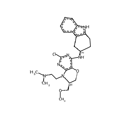 COC[C@@H]1COc2c(N[C@@H]3CCc4[nH]c5ccccc5c4C3)nc(Cl)nc2N1CCN(C)C